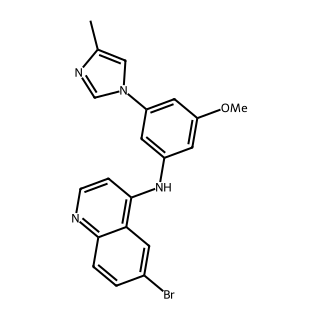 COc1cc(Nc2ccnc3ccc(Br)cc23)cc(-n2cnc(C)c2)c1